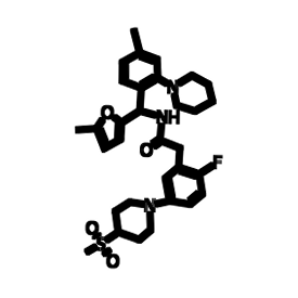 Cc1ccc(C(NC(=O)Cc2cc(N3CCC(S(C)(=O)=O)CC3)ccc2F)c2ccc(C)o2)c(N2CCCCC2)c1